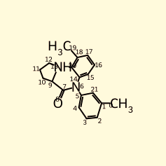 Cc1cccc(N(C(=O)C2CCCN2)c2cccc(C)c2)c1